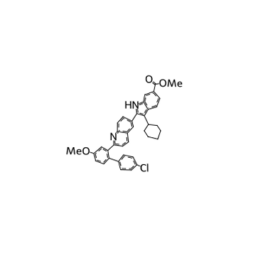 COC(=O)c1ccc2c(C3CCCCC3)c(-c3ccc4nc(-c5cc(OC)ccc5-c5ccc(Cl)cc5)ccc4c3)[nH]c2c1